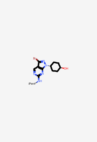 CCC[C@H](C)Nc1ncc2c(Br)nn([C@H]3CC[C@H](O)CC3)c2n1